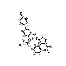 COC(=O)C1CCC(NCc2cc(-c3ccc(F)cc3)ccc2OC(C)C)C1c1ccc(F)cc1.Cl